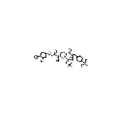 CC(C)(C)OC(=O)N1C[C@@H](NC(=O)COc2ccc(Cl)c(F)c2)CC[C@@H]1C(=O)NCc1ccc(C(F)(F)F)cc1